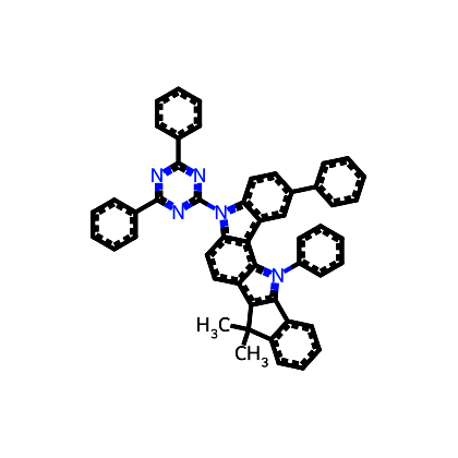 CC1(C)c2ccccc2-c2c1c1ccc3c(c4cc(-c5ccccc5)ccc4n3-c3nc(-c4ccccc4)nc(-c4ccccc4)n3)c1n2-c1ccccc1